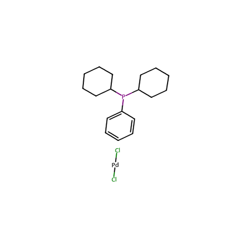 [Cl][Pd][Cl].c1ccc(P(C2CCCCC2)C2CCCCC2)cc1